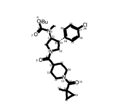 CC(C)COC(=O)N(C)[C@@H]1CN(C(=O)C2CCN(C(=O)C3(C)CC3)CC2)C[C@H]1c1ccc(Cl)cc1